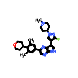 Cc1cc(-c2cnc3[nH]cc(-c4cn(C5CCN(C)CC5)nc4F)c3n2)cc(C)c1C1CCOCC1